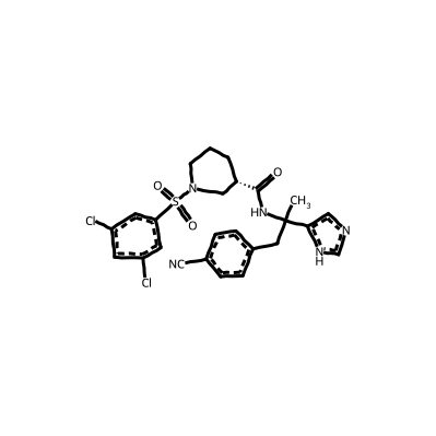 CC(Cc1ccc(C#N)cc1)(NC(=O)[C@H]1CCCN(S(=O)(=O)c2cc(Cl)cc(Cl)c2)C1)c1cnc[nH]1